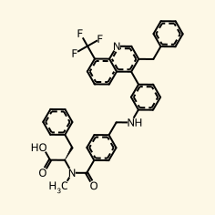 CN(C(=O)c1ccc(CNc2cccc(-c3c(Cc4ccccc4)cnc4c(C(F)(F)F)cccc34)c2)cc1)[C@H](Cc1ccccc1)C(=O)O